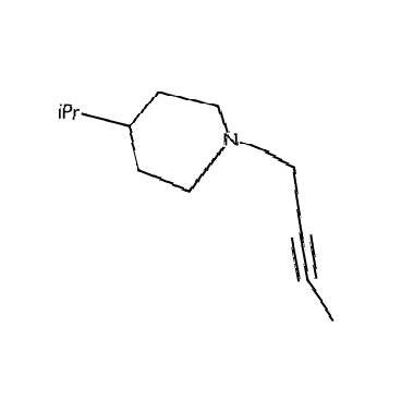 CC#CCN1CCC(C(C)C)CC1